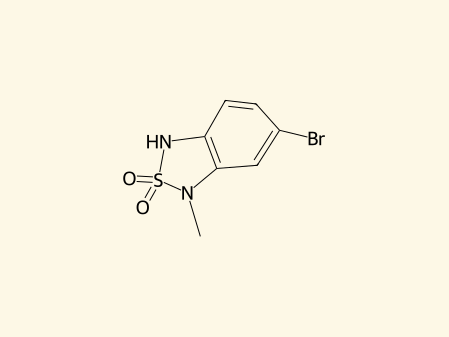 CN1c2cc(Br)ccc2NS1(=O)=O